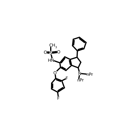 CCCN(CCC)C1CC(c2ccccc2)c2cc(NS(C)(=O)=O)c(Oc3ccc(F)cc3F)cc21